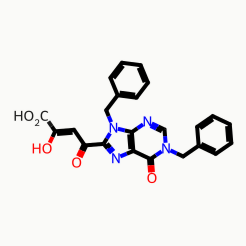 O=C(O)/C(O)=C/C(=O)c1nc2c(=O)n(Cc3ccccc3)cnc2n1Cc1ccccc1